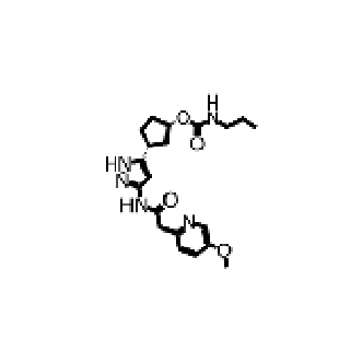 CCCNC(=O)O[C@H]1CC[C@@H](c2cc(NC(=O)Cc3ccc(OC)cn3)n[nH]2)C1